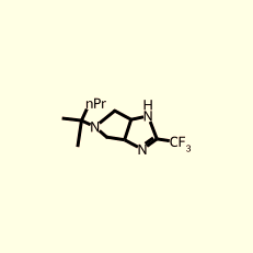 CCCC(C)(C)N1CC2N=C(C(F)(F)F)NC2C1